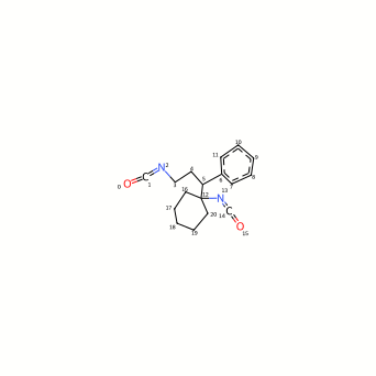 O=C=NCCC(c1ccccc1)C1(N=C=O)CCCCC1